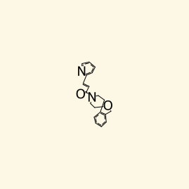 O=C(/C=C/c1ccccn1)N1CCC2(CC1)OCc1ccccc12